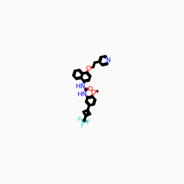 COc1ccc(C23CC(C(F)(F)F)(C2)C3)cc1NC(=O)Nc1ccc(OCCc2ccncc2)c2ccccc12